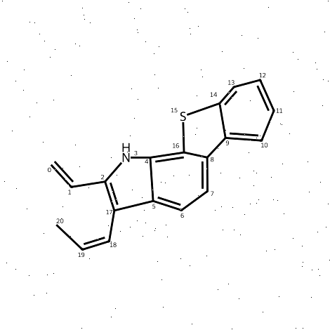 C=Cc1[nH]c2c(ccc3c4ccccc4sc32)c1/C=C\C